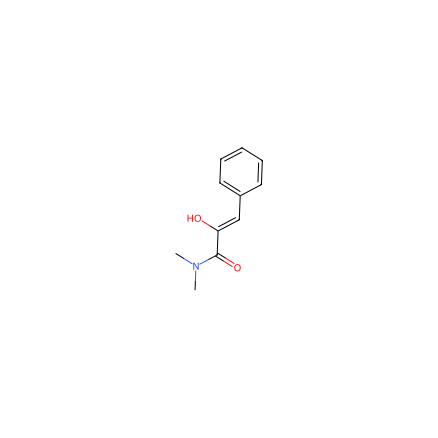 CN(C)C(=O)C(O)=Cc1ccccc1